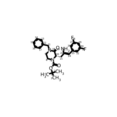 CC(C)(C)OC(=O)N1CCN(Cc2ccccc2)C(=O)[C@@H]1C/C(N)=C/c1cc(F)cc(F)c1